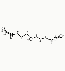 O=C=NCCCOCCCN=C=O